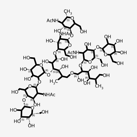 CC(=O)NC1C(O)[C@H](O[C@@H]2OC(CO)[C@H](O)[C@H](O)C2O)[C@H](CO)O[C@H]1OC([C@H](O)OCC(C)[C@@H](O)[C@H](O[C@H]1OC(CO)[C@@H](O)C(O)C1O[C@@H]1OC(CO)[C@@H](O[C@@H]2O[C@H](CO)[C@H](O)[C@H](O)C2O)[C@H](O)C1NC(C)=O)C(O)[C@@H](O)O[C@@H]1C(CO)O[C@@H](O[C@@H]2C(CO)O[C@@H](C)C(NC(C)=O)[C@H]2O)C(NC(C)=O)[C@H]1O)[C@@H](O)[C@H](O)C(C)CO